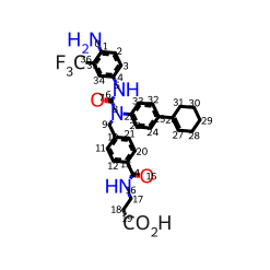 Nc1ccc(NC(=O)N(Cc2ccc(C(=O)NCCC(=O)O)cc2)c2ccc(C3=CCCCC3)cc2)cc1C(F)(F)F